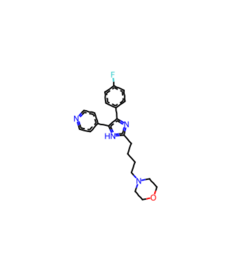 Fc1ccc(-c2nc(CCCCN3CCOCC3)[nH]c2-c2ccncc2)cc1